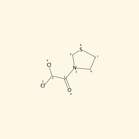 O=C(C(Cl)Cl)N1CCSC1